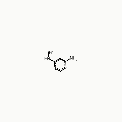 CC(C)Nc1cc(N)ccn1